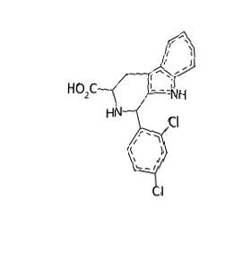 O=C(O)C1Cc2c([nH]c3ccccc23)C(c2ccc(Cl)cc2Cl)N1